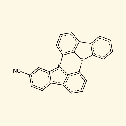 N#Cc1ccc2c3cccc4c3n(c2c1)-c1cccc2c1B4c1ccccc1-2